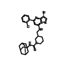 O=C(NC12CC3CC(CC(C3)C1)C2)N1CCCC(CNc2cc(-c3ccccc3Cl)nc3c(Br)cnn23)C1